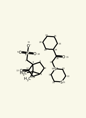 CC1(C)C2CCC1(CS(=O)(=O)[O-])C(=O)C2.O=C(C[S+]1CCSCC1)C1CCCCC1